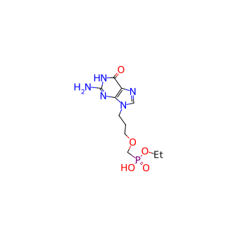 CCOP(=O)(O)COCCCn1cnc2c(=O)[nH]c(N)nc21